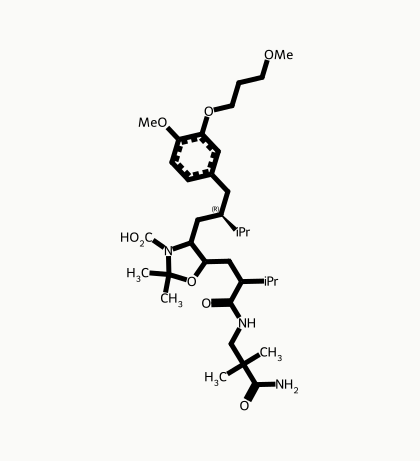 COCCCOc1cc(C[C@H](CC2C(CC(C(=O)NCC(C)(C)C(N)=O)C(C)C)OC(C)(C)N2C(=O)O)C(C)C)ccc1OC